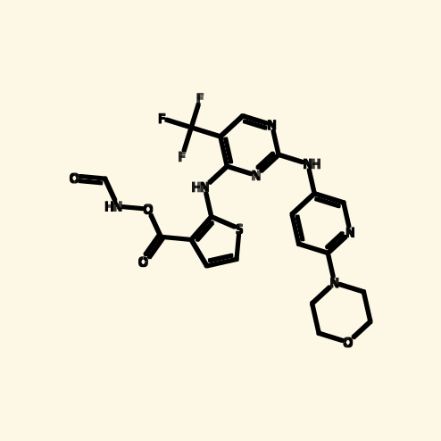 O=CNOC(=O)c1ccsc1Nc1nc(Nc2ccc(N3CCOCC3)nc2)ncc1C(F)(F)F